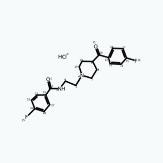 Cl.O=C(NCCN1CCC(C(=O)c2ccc(F)cc2)CC1)c1ccc(F)cc1